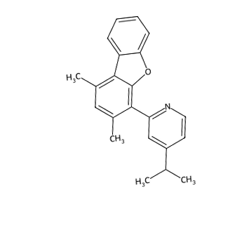 Cc1cc(C)c2c(oc3ccccc32)c1-c1cc(C(C)C)ccn1